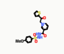 COc1ccc(S(=O)(=O)NNC(=O)c2ccc[n+](CC(=O)c3cccs3)c2)cc1